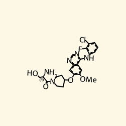 COc1cc2c(Nc3cccc(Cl)c3F)ncnc2cc1OC1CCN(C(=O)[C@H](N)CO)CC1